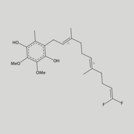 COc1c(O)c(C)c(C/C=C(\C)CC/C=C(\C)CCC=C(F)F)c(O)c1OC